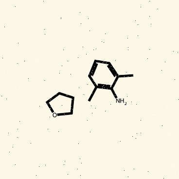 C1CCOC1.Cc1cccc(C)c1N